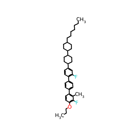 CCCCCCCC1CCC(C2CCC(c3ccc(-c4ccc(-c5ccc(OCCC)c(F)c5C)cc4)c(F)c3)CC2)CC1